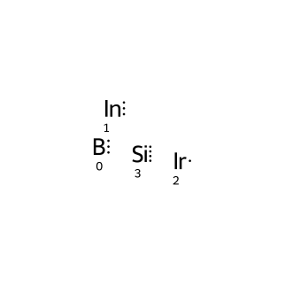 [B].[In].[Ir].[Si]